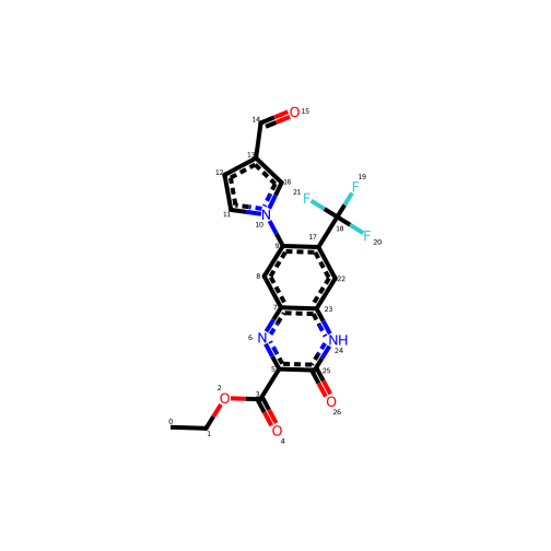 CCOC(=O)c1nc2cc(-n3ccc(C=O)c3)c(C(F)(F)F)cc2[nH]c1=O